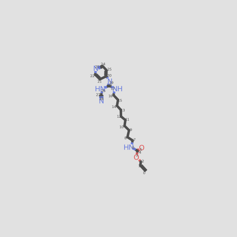 C=CCOC(=O)NCCCCCCCCCCNC(=Nc1ccncc1)NC#N